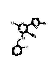 N#Cc1c(NCc2ccccc2Br)nc(N)nc1-c1ccc(Br)o1